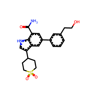 NC(=O)c1cc(-c2cccc(CCO)c2)cc2c(C3CCS(=O)(=O)CC3)c[nH]c12